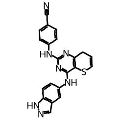 N#Cc1ccc(Nc2nc3c(c(Nc4ccc5[nH]ncc5c4)n2)SC=CC3)cc1